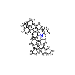 c1ccc(N(c2ccc3c(c2)C2(c4ccccc4-c4ccccc42)c2ccc4ccccc4c2-3)c2ccc3c(c2)C2(c4ccccc4-c4ccccc42)c2c-3ccc3ccccc23)cc1